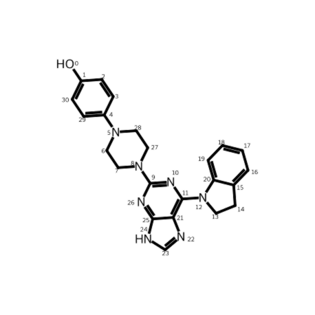 Oc1ccc(N2CCN(c3nc(N4CCc5ccccc54)c4nc[nH]c4n3)CC2)cc1